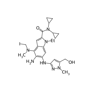 CCn1c(C(=O)N(C2CC2)C2CC2)cc2c(N(C)CI)c(N)c(Nc3cc(CO)n(C)n3)cc21